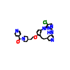 O=C(c1ccncc1)N1CCC(CCOc2ccc3cc2CCC2C=NC=C(C2)Nc2ncc(Cl)c(n2)N3)CC1